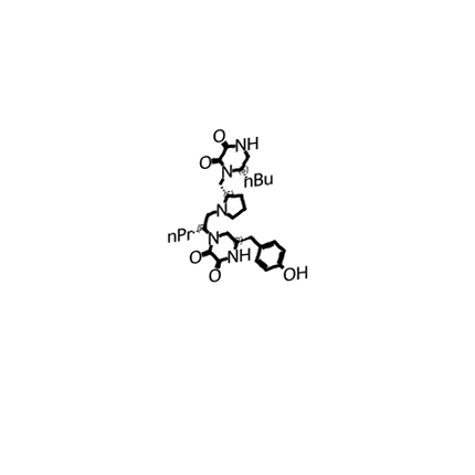 CCCC[C@H]1CNC(=O)C(=O)N1C[C@@H]1CCCN1C[C@@H](CCC)N1C[C@@H](Cc2ccc(O)cc2)NC(=O)C1=O